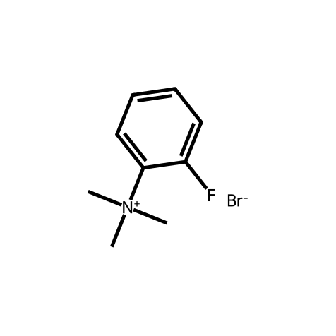 C[N+](C)(C)c1ccccc1F.[Br-]